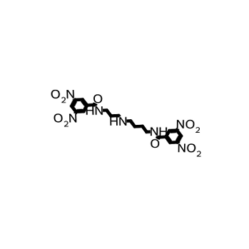 O=C(NCCCCNCCCNC(=O)c1cc([N+](=O)[O-])cc([N+](=O)[O-])c1)c1cc([N+](=O)[O-])cc([N+](=O)[O-])c1